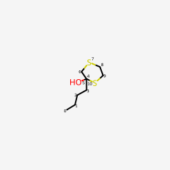 CCCCC1(O)CSCCS1